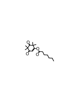 CCCCCCC(=O)OC1=CC(=O)C(C)(C)C(=O)C1(C)C